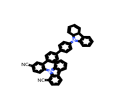 N#Cc1ccc(-n2c3ccccc3c3cccc(C#N)c32)c(-c2ccc(-c3ccc(N4c5ccccc5C5C=CC=CC54)cc3)cc2)c1